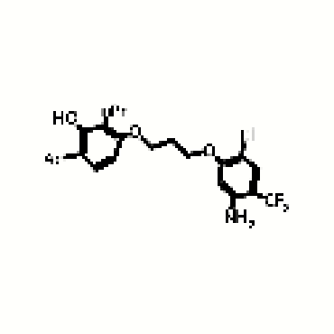 CCCc1c(OCCCOc2cc(N)c(C(F)(F)F)cc2Cl)ccc(C(C)=O)c1O